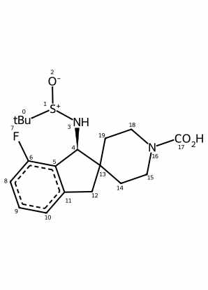 CC(C)(C)[S+]([O-])N[C@@H]1c2c(F)cccc2CC12CCN(C(=O)O)CC2